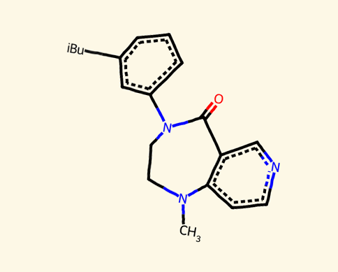 CCC(C)c1cccc(N2CCN(C)c3ccncc3C2=O)c1